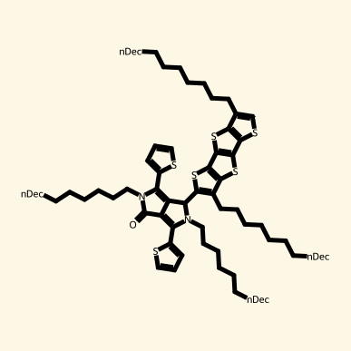 CCCCCCCCCCCCCCCCCc1[c]sc2c1sc1c3sc(C4C5=C(c6cccs6)N(CCCCCCCCCCCCCCCC)C(=O)C5=C(c5cccs5)N4CCCCCCCCCCCCCCCC)c(CCCCCCCCCCCCCCCCC)c3sc21